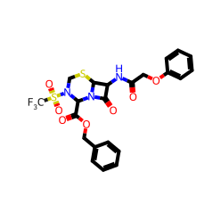 O=C(COc1ccccc1)NC1C(=O)N2C1SCN(S(=O)(=O)C(F)(F)F)C2C(=O)OCc1ccccc1